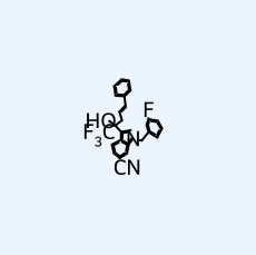 N#Cc1ccc2c(C(O)(CC=Cc3ccccc3)C(F)(F)F)cn(Cc3cccc(F)c3)c2c1